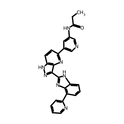 CCC(=O)Nc1cncc(-c2ccc3[nH]nc(-c4nc5c(-c6ccccn6)cccc5[nH]4)c3n2)c1